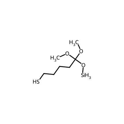 COC(CCCCS)(OC)O[SiH3]